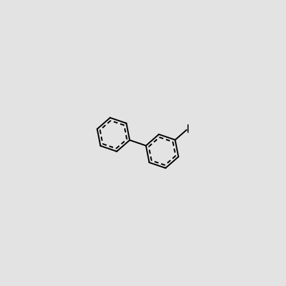 Ic1cccc(-c2ccccc2)c1